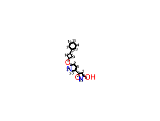 Oc1cc(-c2ccc(OC3CC(c4ccccc4)C3)nc2)on1